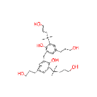 CC(C)(CCCO)c1cc(CCCO)cc(Cc2cc(CCCO)cc(C(C)(C)CCCO)c2O)c1O